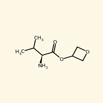 CC(C)[C@H](N)C(=O)OC1COC1